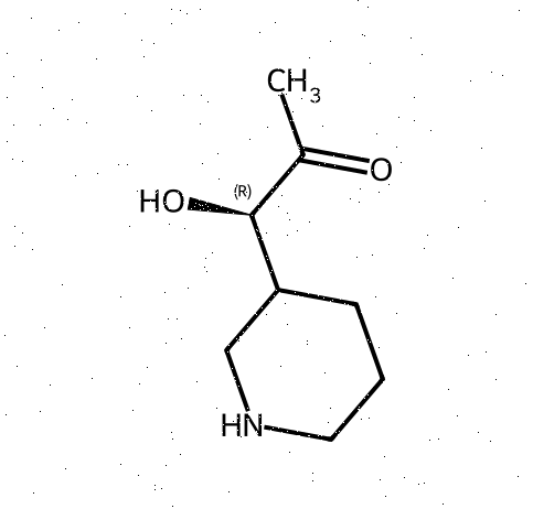 CC(=O)[C@H](O)C1CCCNC1